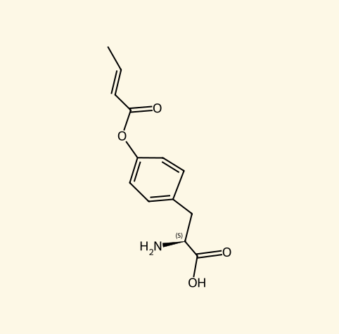 CC=CC(=O)Oc1ccc(C[C@H](N)C(=O)O)cc1